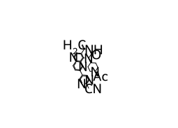 C=C1NC(=O)N(C2CCN(C(C)=O)CC2)c2c1cnc1ccc(-c3cnc(C#N)nc3)nc21